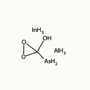 OC1([AsH2])OO1.[AlH3].[InH3]